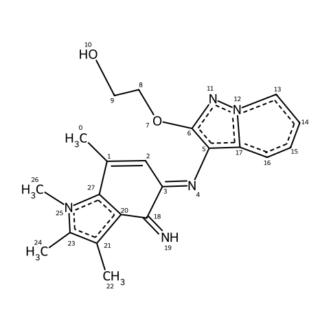 CC1=C/C(=N\c2c(OCCO)nn3ccccc23)C(=N)c2c(C)c(C)n(C)c21